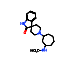 CCOC(=O)NC1CCCCC(N2CCC3(CC2)C(=O)Nc2ccccc23)C1